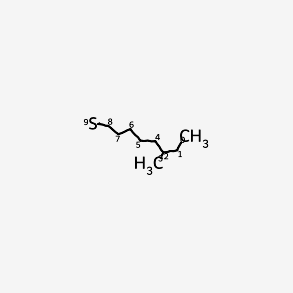 CCC(C)CCCCC[S]